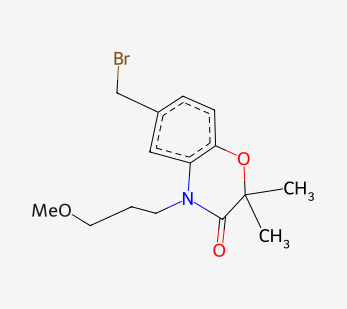 COCCCN1C(=O)C(C)(C)Oc2ccc(CBr)cc21